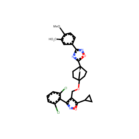 COc1ccc(-c2noc(C34CCC(OCc5c(-c6c(Cl)cccc6Cl)noc5C5CC5)(CC3)CC4)n2)cc1C(=O)O